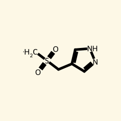 [CH2]S(=O)(=O)Cc1cn[nH]c1